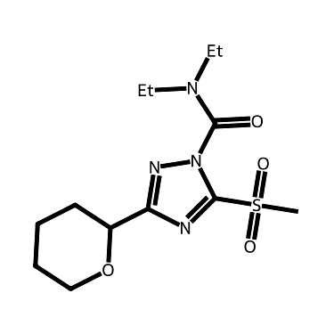 CCN(CC)C(=O)n1nc(C2CCCCO2)nc1S(C)(=O)=O